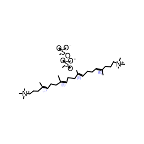 C/C(=C\CC/C=C(\C)CCC[N+](C)(C)C)CC/C=C(\C)CC/C=C(\C)CCC[N+](C)(C)C.CS(=O)(=O)[O-].CS(=O)(=O)[O-]